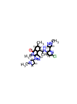 Cc1cc(C(C)Nc2ccc(Cl)nc2-c2cnn(C)c2)c2c(c1)c(=O)n(C)c1c2cnn1C1CCN(C)C1